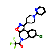 O=C(N1Cc2cc(Cl)ccc2-c2c(C3CCN(c4ccccn4)CC3)noc2C1)C(F)(F)F